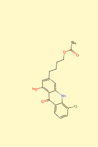 CC(C)(C)C(=O)OCCCCc1cc(O)c2c(=O)c3cccc(Cl)c3[nH]c2c1